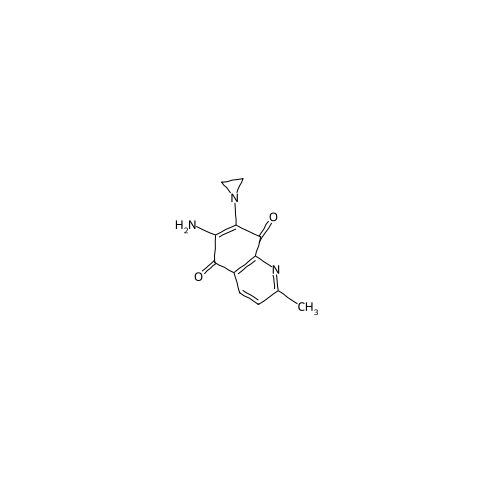 Cc1ccc2c(n1)C(=O)C(N1CC1)=C(N)C2=O